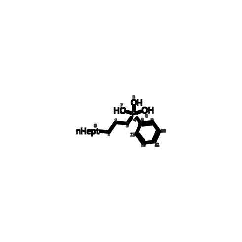 CCCCCCCCCCP(O)(O)(O)c1ccccc1